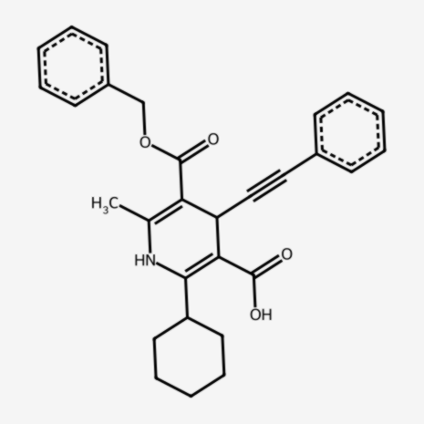 CC1=C(C(=O)OCc2ccccc2)C(C#Cc2ccccc2)C(C(=O)O)=C(C2CCCCC2)N1